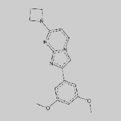 COc1cc(OC)cc(-c2cn3ccc(N4CCC4)nc3n2)c1